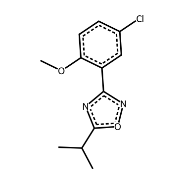 COc1ccc(Cl)cc1-c1noc(C(C)C)n1